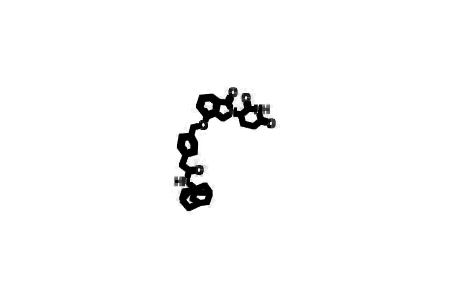 O=C1CCC(N2Cc3c(OCc4ccc(CC(=O)NC56CC7CC(CC(C7)C5)C6)cc4)cccc3C2=O)C(=O)N1